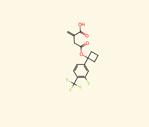 C=C(CC(=O)OC1(c2ccc(C(F)(F)F)c(F)c2)CCC1)C(=O)O